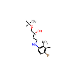 Cc1c(Br)ccc(NCC[C@H](O)CO[Si](C)(C)C(C)(C)C)c1[N+](=O)[O-]